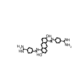 N=C(N)c1ccc(N=Nc2c(O)ccc3cc4c(N=Nc5ccc(C(=N)N)cc5)c(O)ccc4cc23)cc1